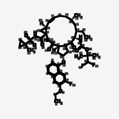 CCOc1cc2ccnc(O[C@@H]3C[C@H]4C(=O)N[C@]5(C(=O)NS(=O)(=O)C6(C)CC6)C[C@H]5/C=C\CC[C@H](C)C[C@@H](CC)[C@H](NC(=O)OC(C)(C)C(F)F)C(=O)N4C3)c2cc1F